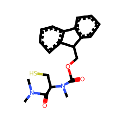 CN(C)C(=O)C(CS)N(C)C(=O)OCC1c2ccccc2-c2ccccc21